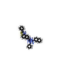 c1ccc(-c2nc(-c3ccc4ccccc4c3)nc(-c3ccc4c(ccc5sc(-c6ccccc6)nc54)c3)n2)cc1